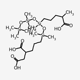 CC(CCC[Si](C)(O[Si](C)(C)CCCC(CC(=O)O)C(=O)O)O[Si](C)(C)O[Si](C)(C)C)C(=O)O